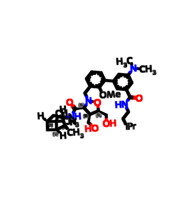 COc1c(CN2O[C@@H](CO)[C@@H](CO)[C@H]2C(=O)N[C@H]2C[C@H]3C[C@@H]([C@@H]2C)C3(C)C)cccc1-c1cc(C(=O)NCCC(C)C)cc(N(C)C)c1